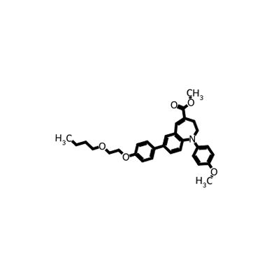 CCCCOCCOc1ccc(-c2ccc3c(c2)C=C(C(=O)OC)CCN3c2ccc(OC)cc2)cc1